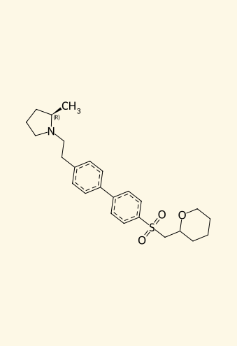 C[C@@H]1CCCN1CCc1ccc(-c2ccc(S(=O)(=O)CC3CCCCO3)cc2)cc1